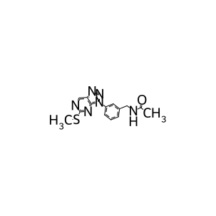 CSc1ncc2nnn(-c3cccc(CNC(C)=O)c3)c2n1